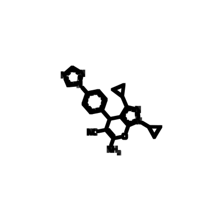 N#CC1=C(N)Oc2c(c(C3CC3)nn2C2CC2)C1c1ccc(-n2cncn2)cc1